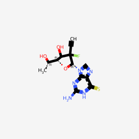 C#CC1(F)C(O)[C@@H]([C@H](C)O)O[C@H]1n1cnc2c(=S)[nH]c(N)nc21